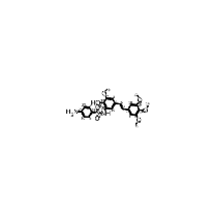 COc1cc(C=Cc2cc(OC)c(OC)c(OC)c2)cc(NS(=O)(=O)c2ccc(N)cc2)c1O